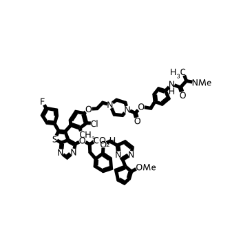 CNC(C)C(=O)Nc1ccc(COC(=O)N2CCN(CCOc3ccc(-c4c(-c5ccc(F)cc5)sc5ncnc(OC(Cc6ccccc6OCc6ccnc(-c7ccccc7OC)n6)C(=O)O)c45)c(C)c3Cl)CC2)cc1